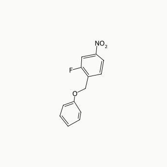 O=[N+]([O-])c1ccc(COc2ccccc2)c(F)c1